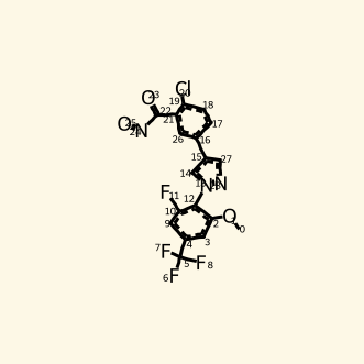 COc1cc(C(F)(F)F)cc(F)c1-n1cc(-c2ccc(Cl)c(C(=O)N=O)c2)cn1